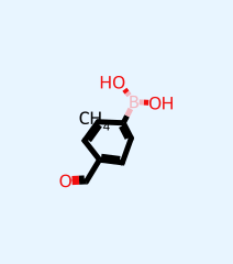 C.O=Cc1ccc(B(O)O)cc1